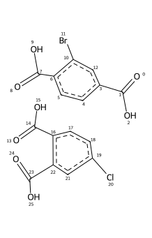 O=C(O)c1ccc(C(=O)O)c(Br)c1.O=C(O)c1ccc(Cl)cc1C(=O)O